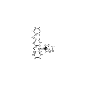 c1ccc(Sc2ccc3c(c2)Sc2ccccc2C3=C2CC3CCC(C2)N3)cc1